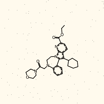 CCOC(=O)c1ccc2c(C3CCCCC3)c3n(c2n1)CCN(CC(=O)N1CCOCC1)c1ccccc1-3